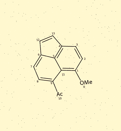 COc1ccc2c3c(ccc(C(C)=O)c13)C=C2